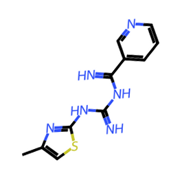 Cc1csc(NC(=N)NC(=N)c2cccnc2)n1